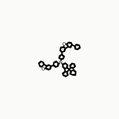 c1ccc(-c2ccc3oc4ccc(-c5ccc(N(c6ccc(-c7ccc8oc9ccccc9c8c7)cc6)c6ccc7c(c6)-c6ccccc6C7(c6ccccc6)c6ccccc6)cc5)cc4c3c2)cc1